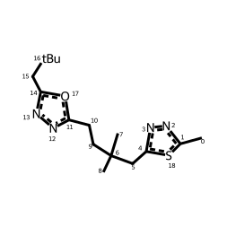 Cc1nnc(CC(C)(C)CCc2nnc(CC(C)(C)C)o2)s1